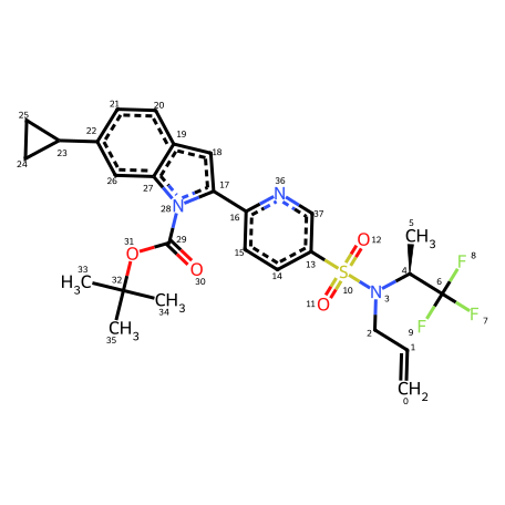 C=CCN([C@@H](C)C(F)(F)F)S(=O)(=O)c1ccc(-c2cc3ccc(C4CC4)cc3n2C(=O)OC(C)(C)C)nc1